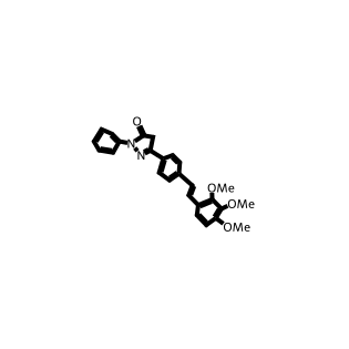 COc1ccc(C=Cc2ccc(C3=NN(c4ccccc4)C(=O)C3)cc2)c(OC)c1OC